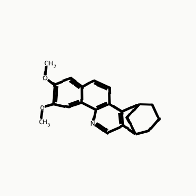 COc1cc2ccc3c4c(cnc3c2cc1OC)C1CCCC4C1